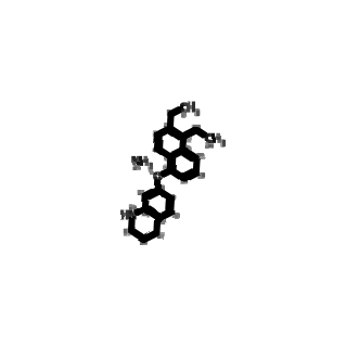 CCc1ccc2c(Oc3ccc4c(c3)NCCC4)cccc2c1CC.N